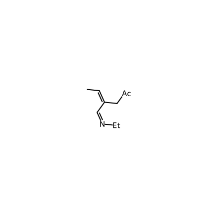 C/C=C(\C=N/CC)CC(C)=O